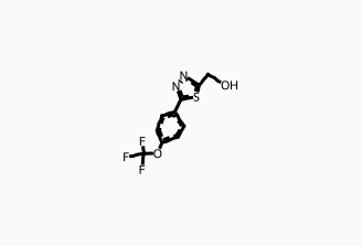 OCc1nnc(-c2ccc(OC(F)(F)F)cc2)s1